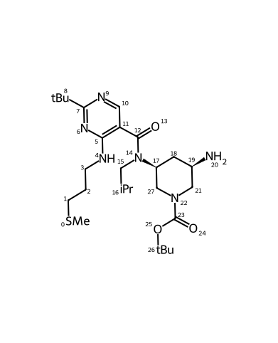 CSCCCNc1nc(C(C)(C)C)ncc1C(=O)N(CC(C)C)[C@H]1C[C@@H](N)CN(C(=O)OC(C)(C)C)C1